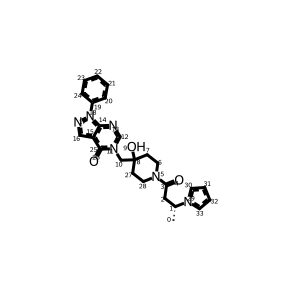 C[C@H](CC(=O)N1CCC(O)(Cn2cnc3c(cnn3-c3ccccc3)c2=O)CC1)n1cccc1